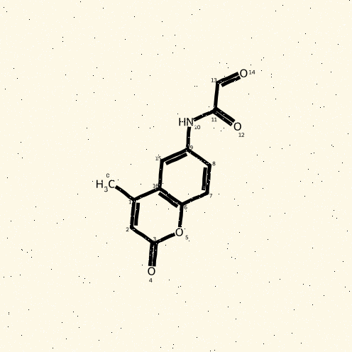 Cc1cc(=O)oc2ccc(NC(=O)C=O)cc12